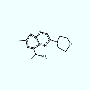 Cc1cc(C(C)N)c2nc(N3CCOCC3)cnc2c1